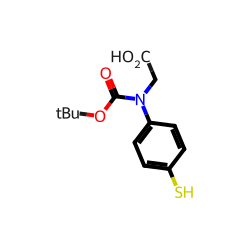 CC(C)(C)OC(=O)N(CC(=O)O)c1ccc(S)cc1